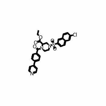 CCOC(=O)C1CN(S(=O)(=O)c2ccc3cc(Cl)ccc3c2)CCN1C(=O)c1ccc(-c2ccncc2)cc1